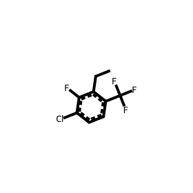 CCc1c(C(F)(F)F)ccc(Cl)c1F